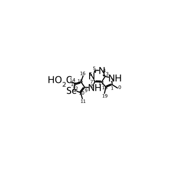 Cc1[nH]c2ncnc(Nc3c(C)[se]c(C(=O)O)c3C)c2c1C